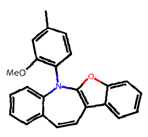 COc1cc(C)ccc1N1c2ccccc2C=Cc2c1oc1ccccc21